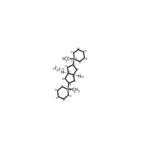 C[N+]1(C2C[C@H]3CC([N+]4(C)CCCCC4)C[C@H]3C2)CCCCC1.[I-].[I-]